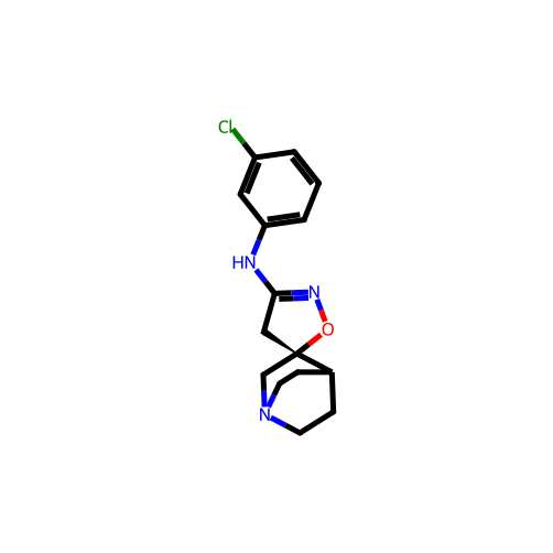 Clc1cccc(NC2=NO[C@@]3(C2)CN2CCC3CC2)c1